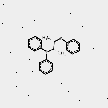 C[C@H](Pc1ccccc1)[C@H](C)P(c1ccccc1)c1ccccc1